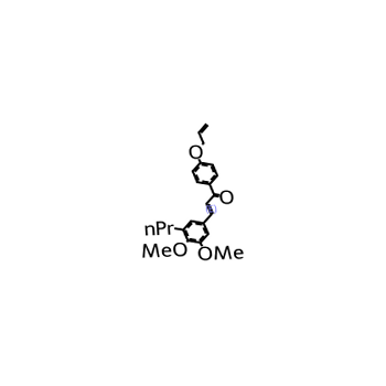 C=CCOc1ccc(C(=O)/C=C/c2cc(CCC)c(OC)c(OC)c2)cc1